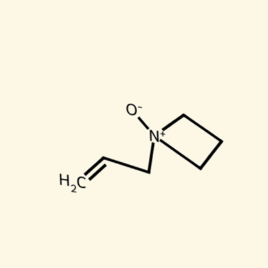 C=CC[N+]1([O-])CCC1